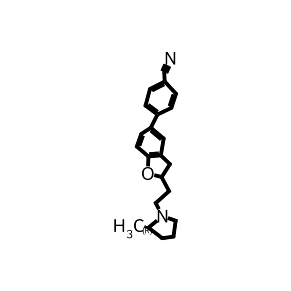 C[C@@H]1CCCN1CCC1Cc2cc(-c3ccc(C#N)cc3)ccc2O1